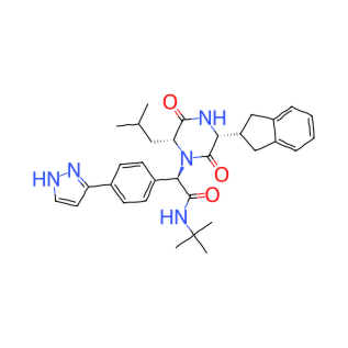 CC(C)C[C@@H]1C(=O)N[C@H](C2Cc3ccccc3C2)C(=O)N1[C@@H](C(=O)NC(C)(C)C)c1ccc(-c2cc[nH]n2)cc1